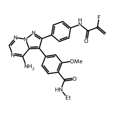 C=C(F)C(=O)Nc1ccc(-c2nn3ncnc(N)c3c2-c2ccc(C(=O)NCC)c(OC)c2)cc1